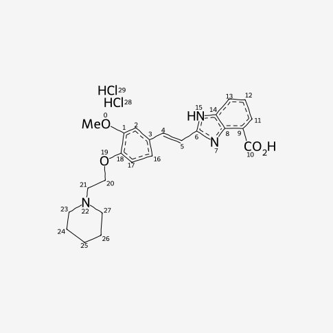 COc1cc(/C=C/c2nc3c(C(=O)O)cccc3[nH]2)ccc1OCCN1CCCCC1.Cl.Cl